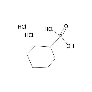 Cl.Cl.O=P(O)(O)C1CCCCC1